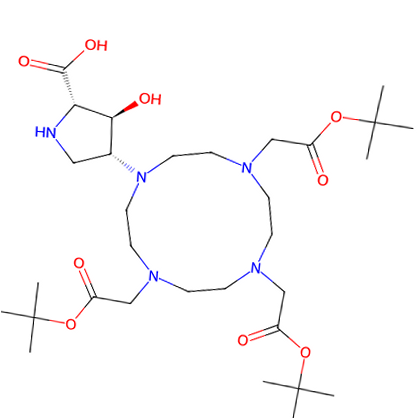 CC(C)(C)OC(=O)CN1CCN(CC(=O)OC(C)(C)C)CCN([C@@H]2CN[C@H](C(=O)O)[C@H]2O)CCN(CC(=O)OC(C)(C)C)CC1